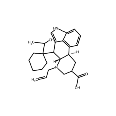 C=CCN1CC(C(=O)O)C[C@@H]2c3cccc4[nH]cc(c34)C(C3(C(C)C)CCCCC3)[C@H]21